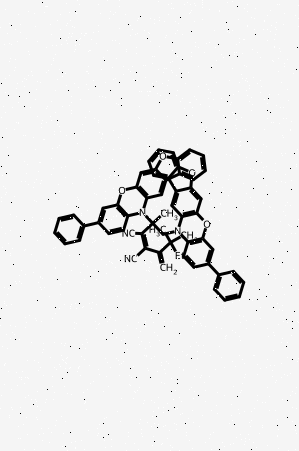 C=C(/C(C#N)=C(/C#N)C(C)(CN1c2ccc(-c3ccccc3)cc2Oc2cc3oc4ccccc4c3cc21)N1c2ccc(-c3ccccc3)cc2Oc2cc3oc4ccccc4c3cc21)C(C)(C)CC